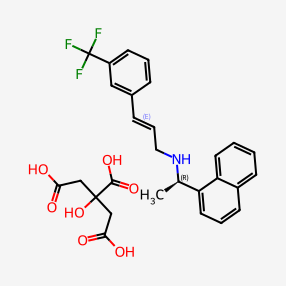 C[C@@H](NC/C=C/c1cccc(C(F)(F)F)c1)c1cccc2ccccc12.O=C(O)CC(O)(CC(=O)O)C(=O)O